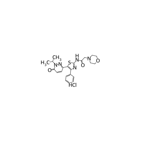 CC(C)n1nc(-c2sc(NC(=O)CN3CCOCC3)nc2-c2ccccc2)ccc1=O.Cl